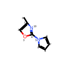 Cc1coc(-n2cccc2)n1